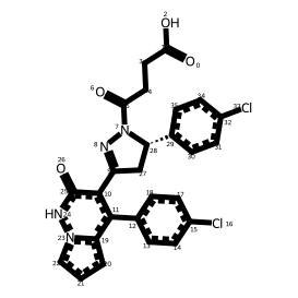 O=C(O)CCC(=O)N1N=C(c2c(-c3ccc(Cl)cc3)c3cccn3[nH]c2=O)C[C@H]1c1ccc(Cl)cc1